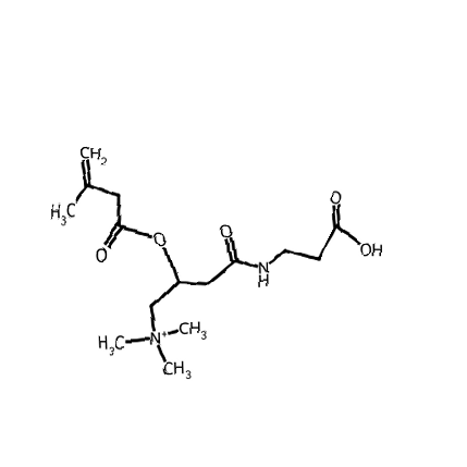 C=C(C)CC(=O)OC(CC(=O)NCCC(=O)O)C[N+](C)(C)C